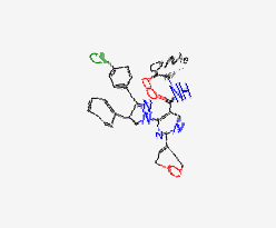 COC(=O)[C@H](C)NC(=O)c1cnc(C2=CCOCC2)nc1N1CC(c2ccccc2)C(c2ccc(Cl)cc2)=N1